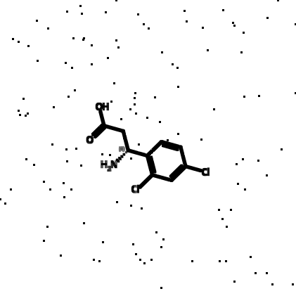 N[C@H](CC(=O)O)c1ccc(Cl)cc1Cl